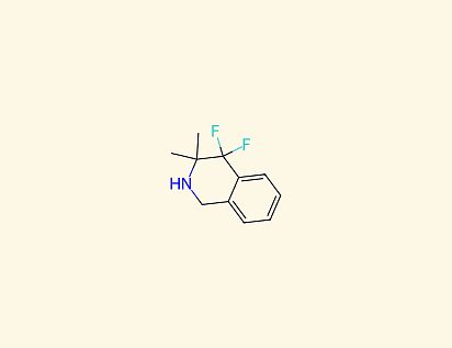 CC1(C)NCc2ccccc2C1(F)F